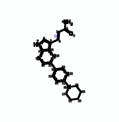 NC(=O)/C=C/c1c[nH]c2ncc(-c3ccc(N4CCCCC4)nc3)nc12